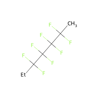 CCC(F)(F)C(F)(F)C(F)(F)C(C)(F)F